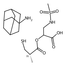 C[C@H](CS)C(=O)OC(CNS(C)(=O)=O)C(=O)O.NC12CC3CC(CC(C3)C1)C2